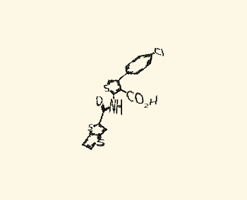 O=C(Nc1scc(-c2ccc(Cl)cc2)c1C(=O)O)c1cc2sccc2s1